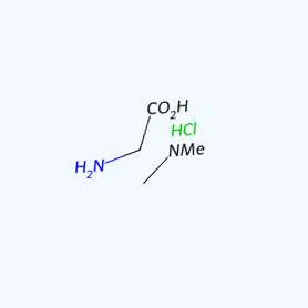 CNC.Cl.NCC(=O)O